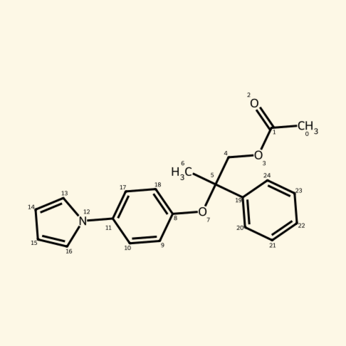 CC(=O)OCC(C)(Oc1ccc(-n2cccc2)cc1)c1ccccc1